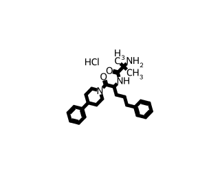 CC(C)(N)C(=O)NC(CCCc1ccccc1)C(=O)N1CCC(c2ccccc2)CC1.Cl